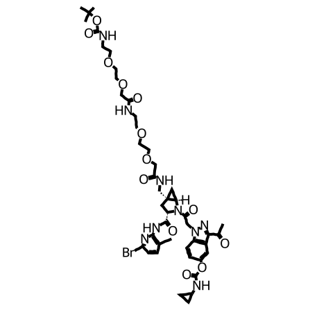 CC(=O)c1nn(CC(=O)N2[C@H](C(=O)Nc3nc(Br)ccc3C)C[C@@]3(CNC(=O)COCCOCCNC(=O)COCCOCCNC(=O)OC(C)(C)C)C[C@@H]23)c2ccc(OC(=O)NC3CC3)cc12